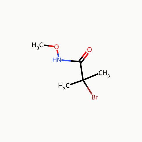 CONC(=O)C(C)(C)Br